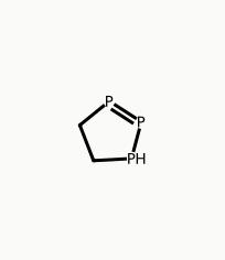 C1CPP=P1